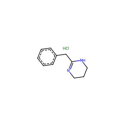 Cl.c1ccc(CC2=NCCCN2)cc1